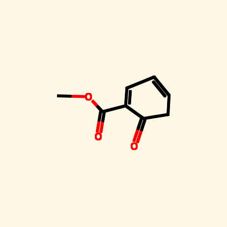 COC(=O)C1=CC=CCC1=O